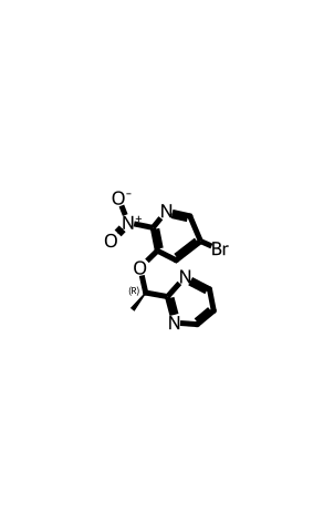 C[C@@H](Oc1cc(Br)cnc1[N+](=O)[O-])c1ncccn1